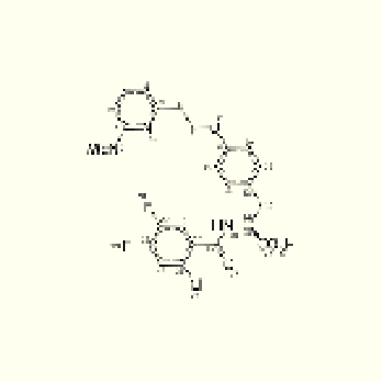 CNc1cccc(CCOc2ccc(C[C@H](NC(=O)c3cc(F)c(F)cc3Cl)C(=O)O)cc2)n1